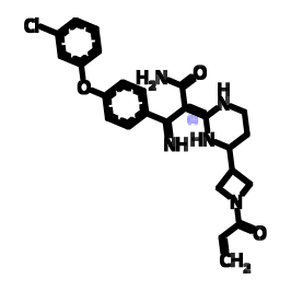 C=CC(=O)N1CC(C2CCN/C(=C(/C(=N)c3ccc(Oc4cccc(Cl)c4)cc3)C(N)=O)N2)C1